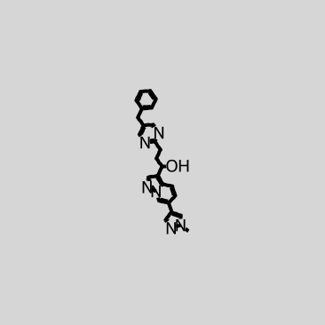 Cn1cc(-c2ccc3c(C(O)CCc4ncc(Cc5ccccc5)cn4)cnn3c2)cn1